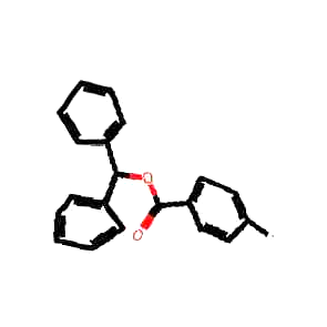 [CH2]c1ccc(C(=O)OC(c2ccccc2)c2ccccc2)cc1